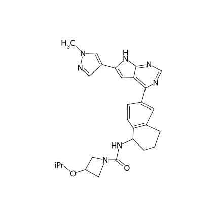 CC(C)OC1CN(C(=O)NC2CCCc3cc(-c4ncnc5[nH]c(-c6cnn(C)c6)cc45)ccc32)C1